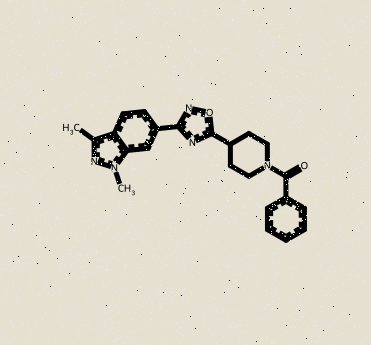 Cc1nn(C)c2cc(-c3noc(C4CCN(C(=O)c5ccccc5)CC4)n3)ccc12